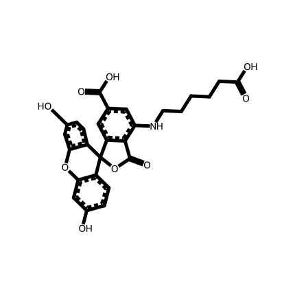 O=C(O)CCCCCNc1cc(C(=O)O)cc2c1C(=O)OC21c2ccc(O)cc2Oc2cc(O)ccc21